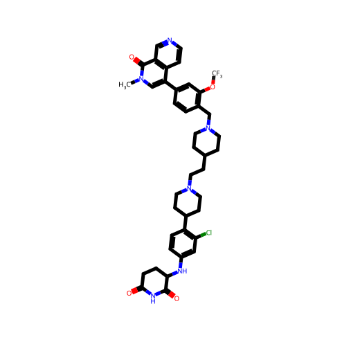 Cn1cc(-c2ccc(CN3CCC(CCN4CCC(c5ccc(NC6CCC(=O)NC6=O)cc5Cl)CC4)CC3)c(OC(F)(F)F)c2)c2ccncc2c1=O